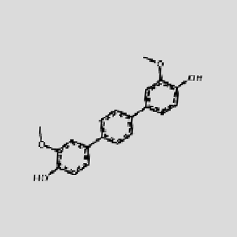 COc1cc(-c2ccc(-c3ccc(O)c(OC)c3)cc2)ccc1O